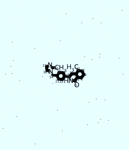 Cc1cccc2c(=O)[nH]c(-c3ccc(Cn4ccnc4C)cc3)cc12